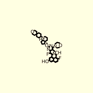 C#Cc1c(F)ccc2cc(O)cc(-c3ncc4c(N5CCCOCC5)nc(OC[C@]56CCC[C@H]5N(C5CCC7(CCOCC7)CC5)CCC6)nc4c3F)c12